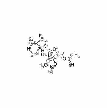 [2H]B(C)OC[C@H]1O[C@@H](n2cc(I)c3c(Cl)ncnc32)C(C)(O)[C@@H]1OB([2H])C